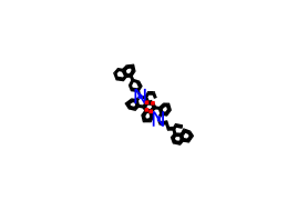 C=C/C(=C\C=C\N(c1ccccc1)c1ccccc1-c1ccc(-c2ccccc2N(C2=CCC(c3cccc4c3C=CCC4)C=C2)C(/C=C\C)=C/C)cc1)c1cccc2ccccc12